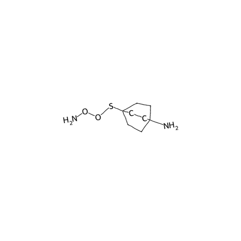 NOOSC12CCC(N)(CC1)CC2